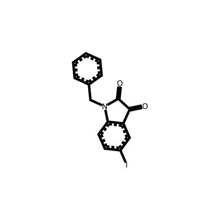 O=C1C(=O)N(Cc2ccccc2)c2ccc(I)cc21